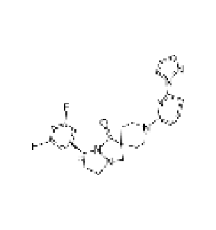 O=C1N2[C@H](c3cc(F)cc(F)c3)CCN2CC12CCN(c1cccc(-n3cccn3)n1)CC2